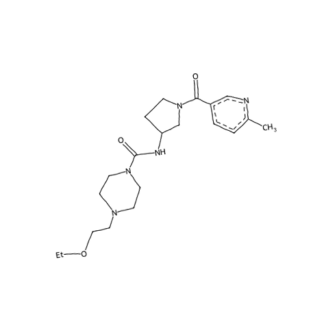 CCOCCN1CCN(C(=O)NC2CCN(C(=O)c3ccc(C)nc3)C2)CC1